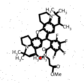 COC(=O)CCN(C)C(=O)c1c(F)c(F)c(F)c(F)c1C1=c2cc3c4c(c2Oc2c1cc1c5c2CCCN5C(C)(C)C=C1C)CCC[N+]=4C(C)(C)C=C3C